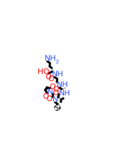 CC(C)[C@@H](C(=O)N[C@@H](C)C(=O)NCCC(=O)N[C@@H](CCCCN)C(=O)O)N(CC[Si](C)(C)C)C(=O)CN1C(=O)C=CC1=O